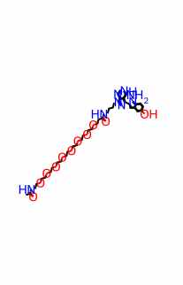 CC(=O)NCCOCCOCCOCCOCCOCCOCCOCCOCCC(=O)NCCCCn1nc(-c2cc3cc(O)ccc3[nH]2)c2c(N)ncnc21